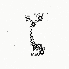 COc1cccc(CN(C)/N=C\c2c(C=O)n(C)c3nc(Cn4cc(CCCCOc5ccc(OCc6ccc(F)c(C(F)(F)F)c6)c(CNCCO)c5)cn4)sc23)c1